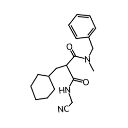 CN(Cc1ccccc1)C(=O)C(CC1CCCCC1)C(=O)NCC#N